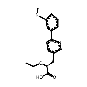 CCO[C@@H](Cc1ccc(-c2cccc(NC)c2)nc1)C(=O)O